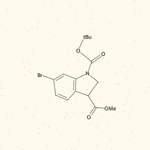 COC(=O)C1CN(C(=O)OC(C)(C)C)c2cc(Br)ccc21